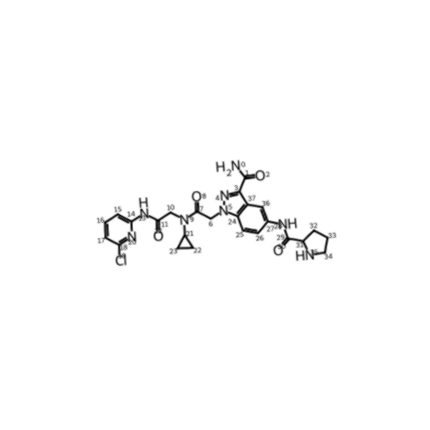 NC(=O)c1nn(CC(=O)N(CC(=O)Nc2cccc(Cl)n2)C2CC2)c2ccc(NC(=O)C3CCCN3)cc12